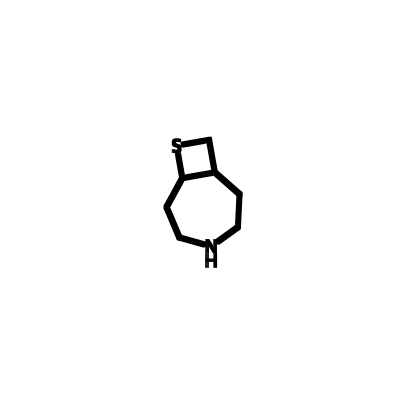 C1CC2CSC2CCN1